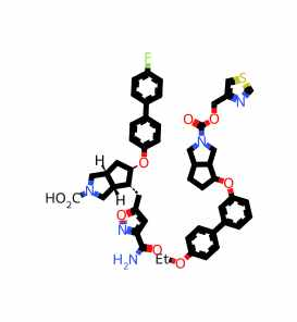 CCOc1ccc(-c2cccc(OC3CCC4CN(C(=O)OCc5cscn5)CC43)c2)cc1.NC(=O)c1cc(C[C@@H]2[C@@H]3CN(C(=O)O)C[C@H]3C[C@@H]2Oc2ccc(-c3ccc(F)cc3)cc2)on1